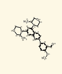 COc1ccc(-c2ccc3c(N4CCOC[C@@H]4C)nc(N4CCOC[C@@H]4C)nc3n2)cc1C=O